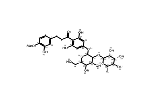 COc1ccc(CCC(=O)c2c(O)cc(OC3O[C@H](CO)C(O)[C@H](O)C3O[C@@H]3O[C@@H](C)[C@H](O)[C@@H](O)[C@H]3O)cc2O)cc1O